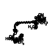 Cc1ncsc1-c1ccc(CNC(=O)[C@@H]2C[C@@H](O)CN2C(=O)[C@@H](NC(=O)C2(F)CC2)C(C)(C)C)c(OCCCCCCCCCCCCN2CCN(CC#Cc3ccc(OCCCc4sc(N5CCCc6c5nnc(Nc5nc7ccccc7s5)c6C)nc4C(=O)O)c(F)c3)CC2)c1